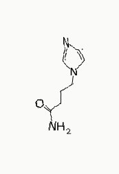 NC(=O)CCCn1c[c]nc1